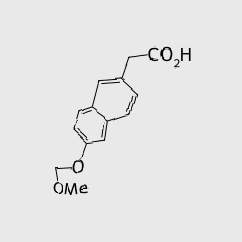 COCOc1ccc2cc(CC(=O)O)ccc2c1